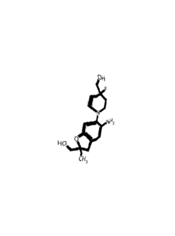 CC1(CO)Cc2cc(N)c(N3CCC(F)(CO)CC3)cc2O1